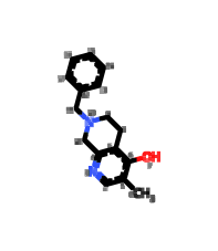 Cc1cnc2c(c1O)CCN(Cc1ccccc1)C2